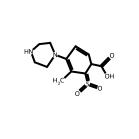 CC1=C(N2CCNCC2)C=CC(C(=O)O)C1=S(=O)=O